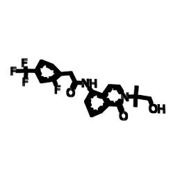 CC(C)(CO)n1ccc2c(NC(=O)Cc3ccc(C(F)(F)F)cc3F)cccc2c1=O